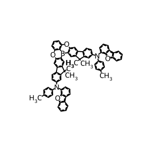 Cc1ccc(N(c2ccc3c(c2)C(C)(C)c2cc4c(cc2-3)Oc2cccc3c2B4c2cc4c(cc2O3)-c2ccc(N(c3ccc(C)cc3)c3cccc5c3oc3ccccc35)cc2C4(C)C)c2cccc3c2oc2ccccc23)cc1